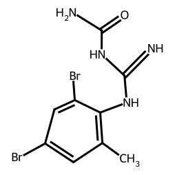 Cc1cc(Br)cc(Br)c1NC(=N)NC(N)=O